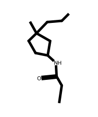 CCCC1(C)CCC(NC(=O)CC)C1